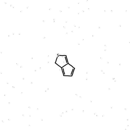 C1=CC2=CSCC2=C1